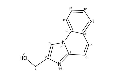 OCc1cn2c(ccc3ccccc32)n1